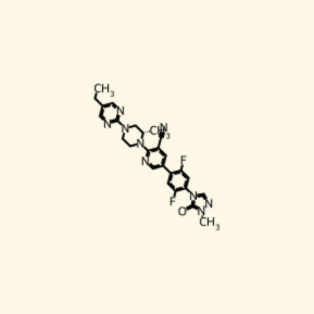 CCc1cnc(N2CCN(c3ncc(-c4cc(F)c(-n5cnn(C)c5=O)cc4F)cc3C#N)[C@@H](C)C2)nc1